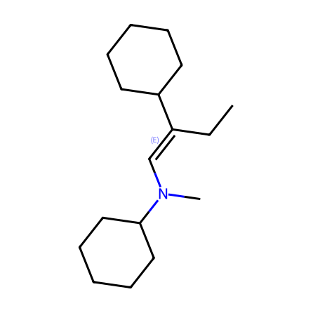 CC/C(=C\N(C)C1CCCCC1)C1CCCCC1